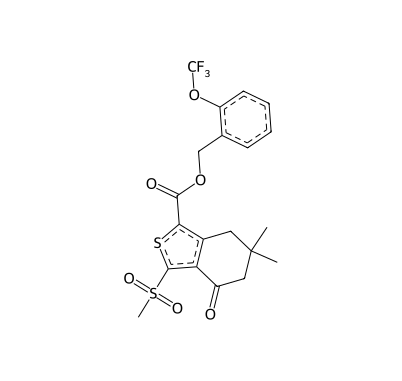 CC1(C)CC(=O)c2c(S(C)(=O)=O)sc(C(=O)OCc3ccccc3OC(F)(F)F)c2C1